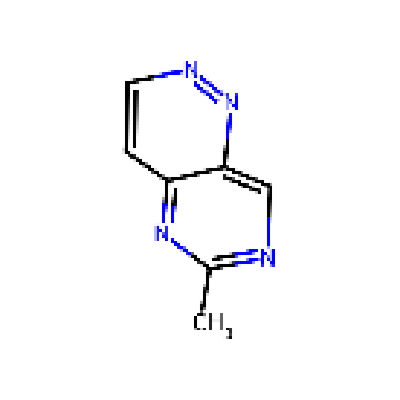 Cc1ncc2nnccc2n1